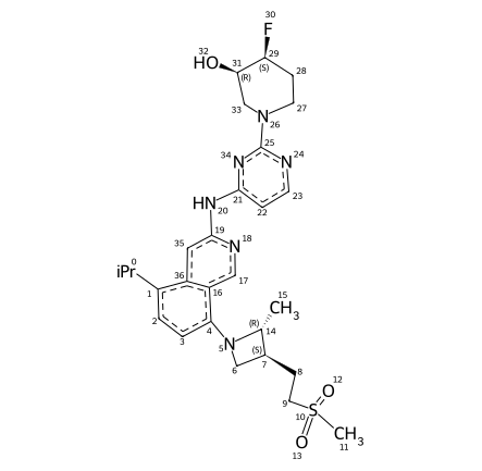 CC(C)c1ccc(N2C[C@H](CCS(C)(=O)=O)[C@H]2C)c2cnc(Nc3ccnc(N4CC[C@H](F)[C@H](O)C4)n3)cc12